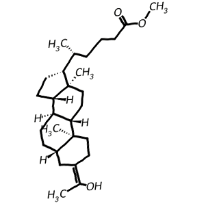 COC(=O)CCC[C@@H](C)[C@H]1CC[C@H]2[C@@H]3CC[C@H]4C/C(=C(\C)O)CC[C@]4(C)[C@H]3CC[C@]12C